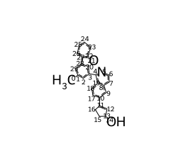 Cc1cc(-c2nccc3cc(C4=CC(O)CC4)ccc23)c2oc3ccccc3c2c1